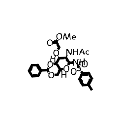 COC(=O)CO[C@H]1[C@@H]2OC(c3ccccc3)OC[C@H]2OC(NS(=O)(=O)c2ccc(C)cc2)[C@@H]1NC(C)=O